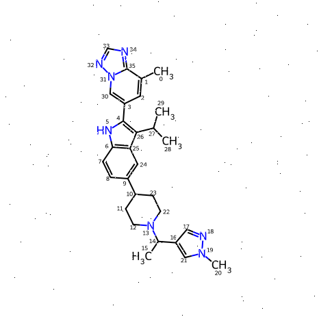 Cc1cc(-c2[nH]c3ccc(C4CCN(C(C)c5cnn(C)c5)CC4)cc3c2C(C)C)cn2ncnc12